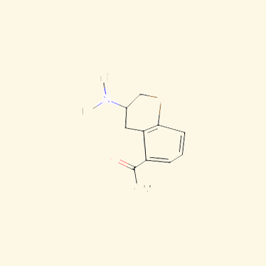 CCCN(C(C)C)C1CSc2cccc(C(=O)OC)c2C1